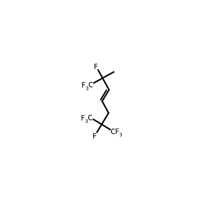 CC(F)(/C=C/CC(F)(C(F)(F)F)C(F)(F)F)C(F)(F)F